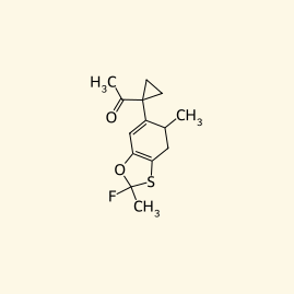 CC(=O)C1(C2=CC3=C(CC2C)SC(C)(F)O3)CC1